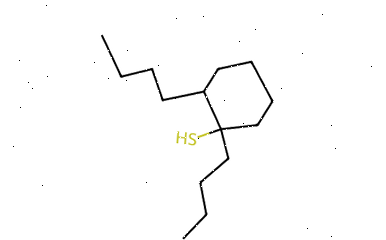 CCCCC1CCCCC1(S)CCCC